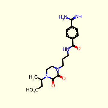 CC(CC(=O)O)N1CCN(CCCNC(=O)c2ccc(C(=N)N)cc2)C(=O)C1=O